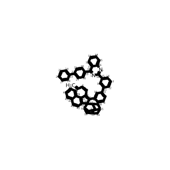 C=C/C=C\C1=C(c2cccc(-c3cccc(-c4nc(-c5ccc(-c6ccccc6)cc5)c5ccccc5n4)c3)c2)C2(c3ccc4ccccc4c31)C1CC3CC(C1)CC2C3